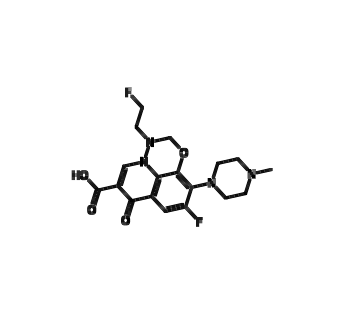 CN1CCN(c2c(F)cc3c(=O)c(C(=O)O)cn4c3c2OCN4CCF)CC1